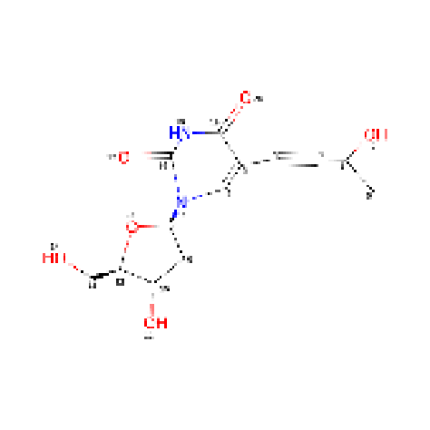 CC(O)C#Cc1cn([C@H]2C[C@H](O)[C@@H](CO)O2)c(=O)[nH]c1=O